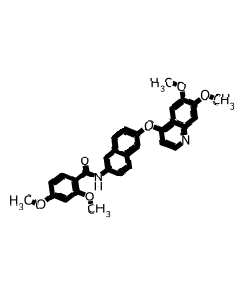 COc1ccc(C(=O)Nc2ccc3cc(Oc4ccnc5cc(OC)c(OC)cc45)ccc3c2)c(OC)c1